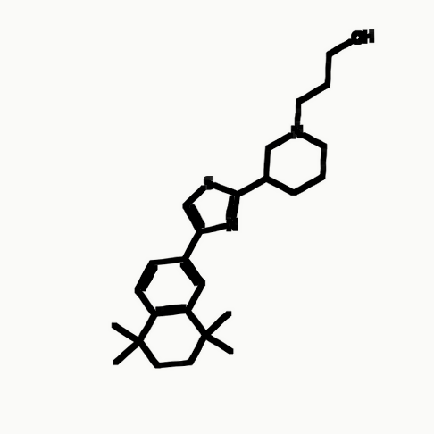 CC1(C)CCC(C)(C)c2cc(-c3csc(C4CCCN(CCCO)C4)n3)ccc21